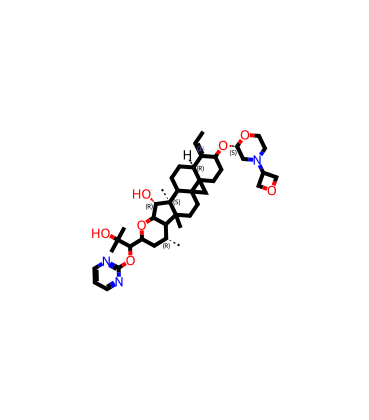 C/C=C1\C(O[C@H]2CN(C3COC3)CCO2)CCC23CC24CCC2(C)C5C(OC(C(Oc6ncccn6)C(C)(C)O)C[C@H]5C)[C@H](O)[C@@]2(C)C4CC[C@@H]13